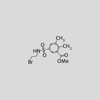 COC(=O)c1cc(S(=O)(=O)NCCBr)cc(C)c1C